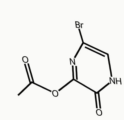 CC(=O)Oc1nc(Br)c[nH]c1=O